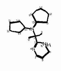 CC(C)(C1=NCCCN1)N(C1CCCC1)C1CCCC1